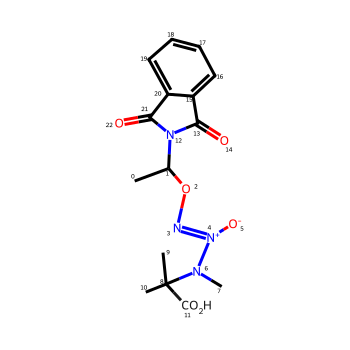 CC(O/N=[N+](\[O-])N(C)C(C)(C)C(=O)O)N1C(=O)c2ccccc2C1=O